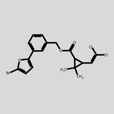 CC1(C)C(C=C(Cl)Cl)C1C(=O)OCc1cccc(-c2ccc(Br)o2)c1